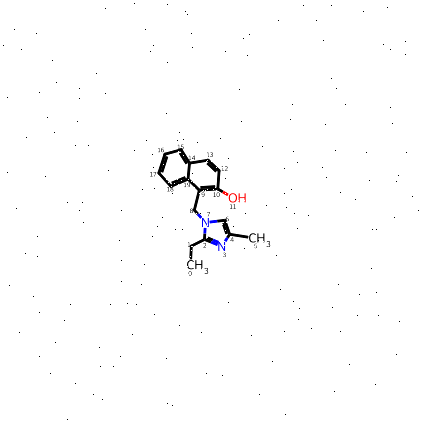 CCc1nc(C)cn1Cc1c(O)ccc2ccccc12